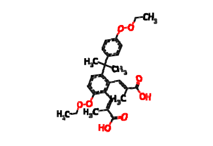 CCOOc1ccc(C(C)(C)c2ccc(OOCC)c(C=C(C)C(=O)O)c2C=C(C)C(=O)O)cc1